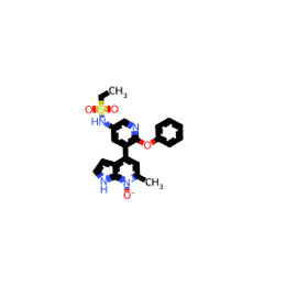 CCS(=O)(=O)Nc1cnc(Oc2ccccc2)c(-c2cc(C)[n+]([O-])c3[nH]ccc23)c1